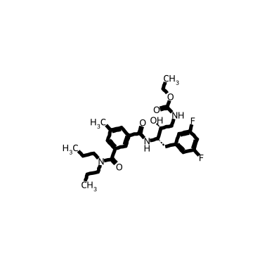 CCCN(CCC)C(=O)c1cc(C)cc(C(=O)N[C@@H](Cc2cc(F)cc(F)c2)[C@H](O)CNC(=O)OCC)c1